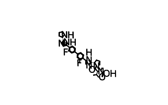 CC(C)[C@@H](C(=O)N1CCC[C@H]1c1ncc(-c2ccc(-c3ccc(-c4cnc([C@@H]5CCCN5)[nH]4)c(F)c3)cc2F)[nH]1)N(C)C(=O)O